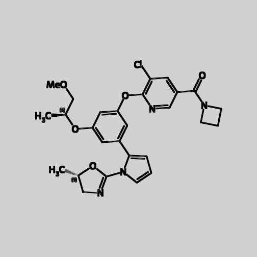 COC[C@H](C)Oc1cc(Oc2ncc(C(=O)N3CCC3)cc2Cl)cc(-c2cccn2C2=NC[C@H](C)O2)c1